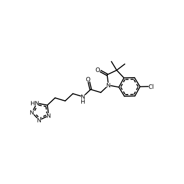 CC1(C)C(=O)N(CC(=O)NCCCc2nnn[nH]2)c2ccc(Cl)cc21